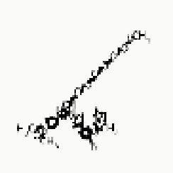 COCCOCCOCCOCCOCCOCCOCCCOc1nn([C@H]2CC[C@H](N3C[C@@H](C)O[C@@H](C)C3)CC2)cc1Nc1ncc(-c2ccc(C#N)c(O[C@@H](C)Cn3cncn3)c2)cn1